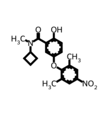 Cc1cc([N+](=O)[O-])cc(C)c1Oc1ccc(O)c(C(=O)N(C)C2CCC2)c1